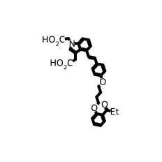 CCC(=O)c1ccccc1OCCCCOc1ccc(C=Cc2cccc3c2c(CC(=O)O)cn3CC(=O)O)cc1